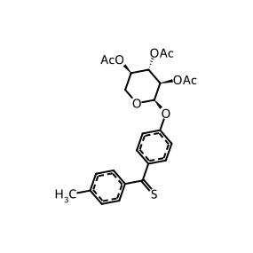 CC(=O)O[C@@H]1[C@@H](OC(C)=O)[C@@H](Oc2ccc(C(=S)c3ccc(C)cc3)cc2)OC[C@H]1OC(C)=O